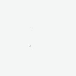 [CH2]C(N)(N)c1ccccc1